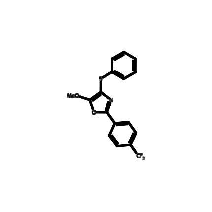 COc1oc(-c2ccc(C(F)(F)F)cc2)nc1Sc1ccccc1